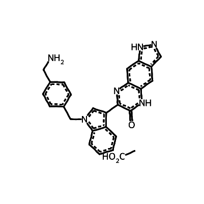 CC(=O)O.NCc1ccc(Cn2cc(-c3nc4cc5[nH]ncc5cc4[nH]c3=O)c3ccccc32)cc1